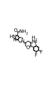 NC(=O)c1[nH]nc2c1CN([C@H]1CO[C@H](c3cc(F)c(F)cc3F)[C@@H](N)C1)C2